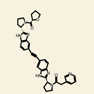 O=C(Cc1cccnc1)N1CCC[C@H]1c1nc2ccc(C#Cc3ccc4[nH]c([C@@H]5CCCN5C(=O)[C@H]5CCCO5)nc4c3)cc2[nH]1